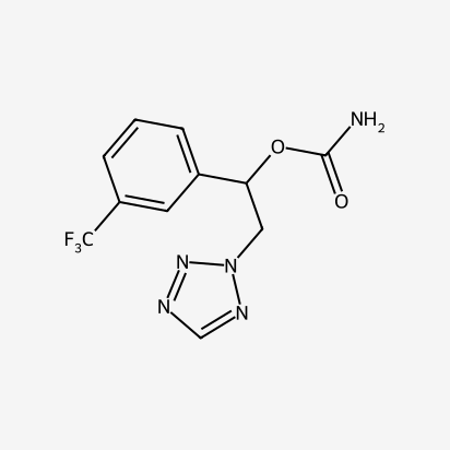 NC(=O)OC(Cn1ncnn1)c1cccc(C(F)(F)F)c1